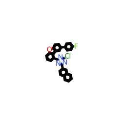 Fc1ccc(-c2ccc3oc4cccc(-c5nc(Cl)nc(-c6ccc7ccccc7c6)n5)c4c3c2)cc1